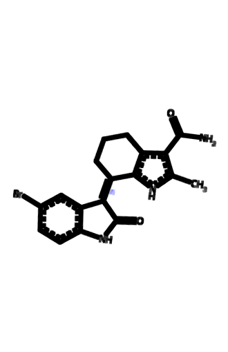 Cc1[nH]c2c(c1C(N)=O)CCC/C2=C1/C(=O)Nc2ccc(Br)cc21